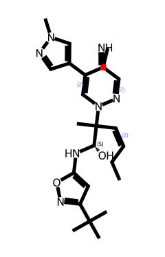 CC/C=C\C(C)([C@H](O)Nc1cc(C(C)(C)C)no1)N(/C=C(\C=N)c1cnn(C)c1)/N=C\CC